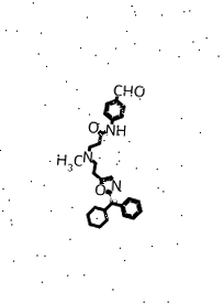 CN(CCC(=O)Nc1ccc(C=O)cc1)CCc1cnc([C@H](c2ccccc2)C2CCCCC2)o1